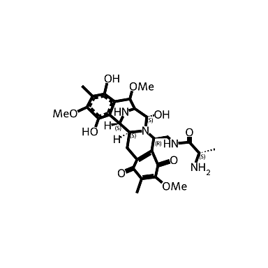 COC1=C(C)C(=O)C2=C(C1=O)[C@H](CNC(=O)[C@H](C)N)N1[C@@H](O)C3N[C@@H](c4c(O)c(OC)c(C)c(O)c4C3OC)[C@@H]1C2